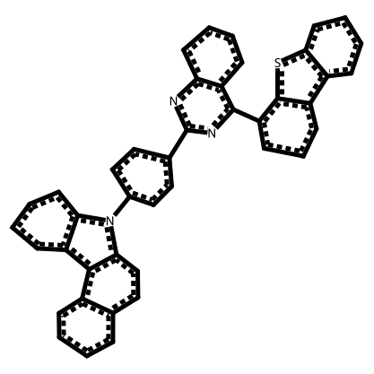 c1ccc2c(c1)ccc1c2c2ccccc2n1-c1ccc(-c2nc(-c3cccc4c3sc3ccccc34)c3ccccc3n2)cc1